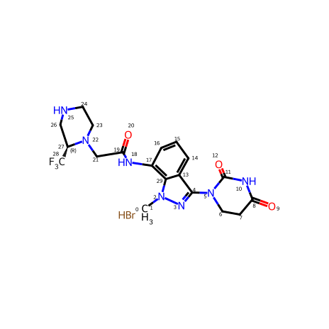 Br.Cn1nc(N2CCC(=O)NC2=O)c2cccc(NC(=O)CN3CCNC[C@@H]3C(F)(F)F)c21